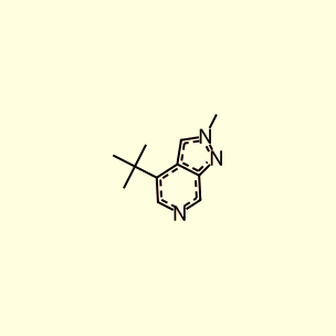 Cn1cc2c(C(C)(C)C)cncc2n1